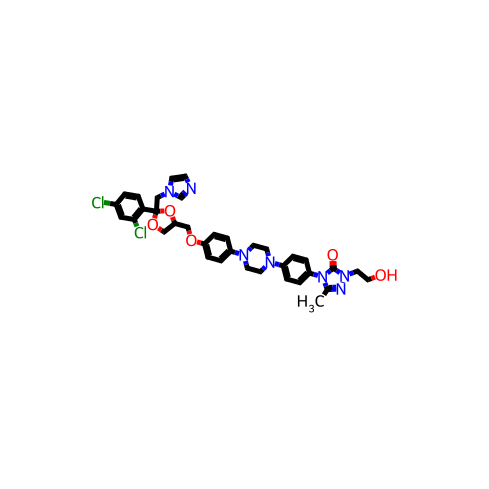 Cc1nn(CCO)c(=O)n1-c1ccc(N2CCN(c3ccc(OCC4COC(Cn5ccnc5)(c5ccc(Cl)cc5Cl)O4)cc3)CC2)cc1